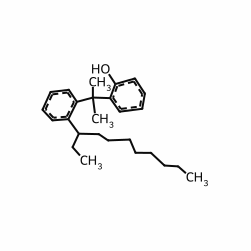 CCCCCCCCC(CC)c1ccccc1C(C)(C)c1ccccc1O